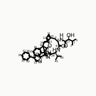 CC(C)[C@H](O)C(=O)N[C@H]1Cc2ccc3c(c2)C2(c4ccccc4NC2O3)c2oc(nc2-c2ncc(-c3ccccc3)o2)[C@H](C(C)C)NC1=O